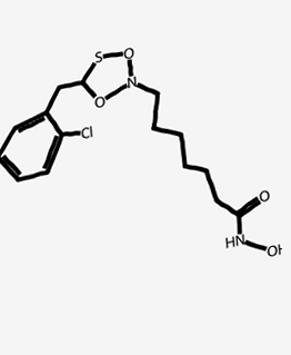 O=C(CCCCCCN1OSC(Cc2ccccc2Cl)O1)NO